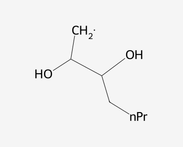 [CH2]C(O)C(O)CCCC